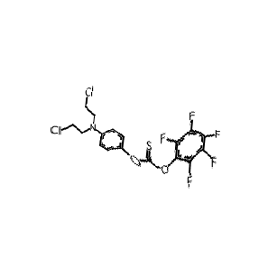 Fc1c(F)c(F)c(OC(=S)Oc2ccc(N(CCCl)CCCl)cc2)c(F)c1F